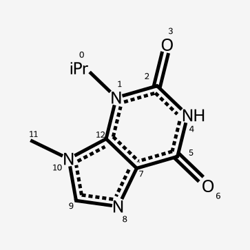 CC(C)n1c(=O)[nH]c(=O)c2ncn(C)c21